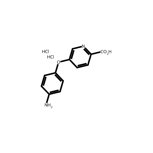 Cl.Cl.Nc1ccc(Oc2ccc(C(=O)O)nc2)cc1